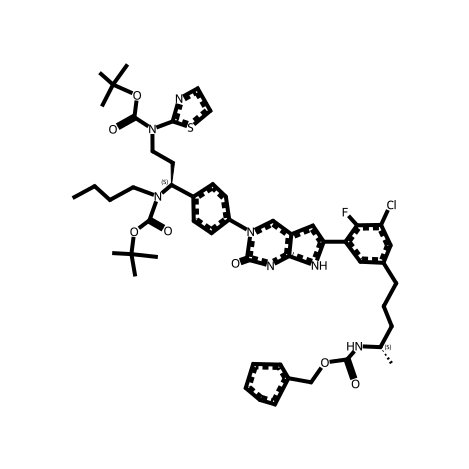 CCCCN(C(=O)OC(C)(C)C)[C@@H](CCN(C(=O)OC(C)(C)C)c1nccs1)c1ccc(-n2cc3cc(-c4cc(CCC[C@H](C)NC(=O)OCc5ccccc5)cc(Cl)c4F)[nH]c3nc2=O)cc1